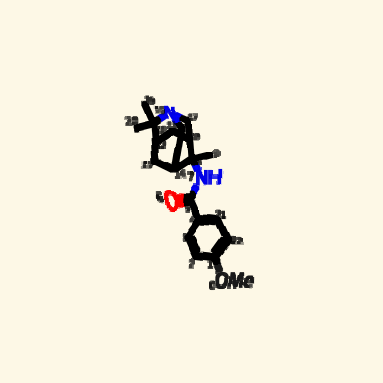 COc1ccc(C(=O)NC2(C)C3CC4CC2CN(C3)C4(C)C)cc1